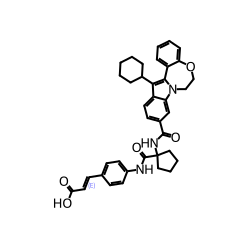 O=C(O)/C=C/c1ccc(NC(=O)C2(NC(=O)c3ccc4c(C5CCCCC5)c5n(c4c3)CCOc3ccccc3-5)CCCC2)cc1